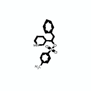 Cc1ccc(S(=O)(=O)OC(Cc2ccccc2)C2CCCNC2)cc1